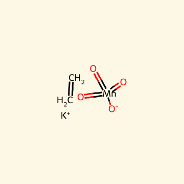 C=C.[K+].[O]=[Mn](=[O])(=[O])[O-]